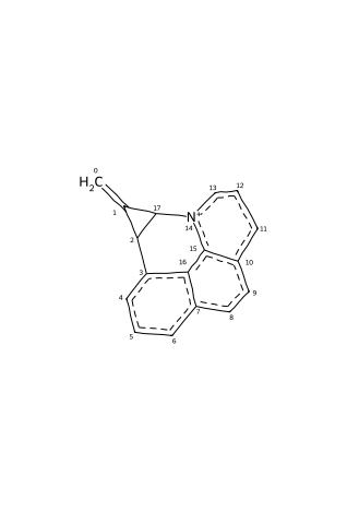 C=C1C2c3cccc4ccc5ccc[n+](c5c34)C12